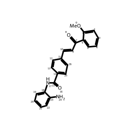 COc1ccccc1C(=O)C=Cc1ccc(C(=O)Nc2ccccc2N)cc1